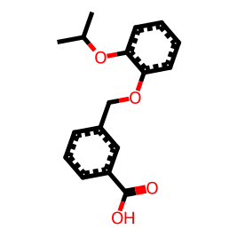 CC(C)Oc1ccccc1OCc1cccc(C(=O)O)c1